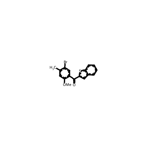 COc1cc(C)c(Br)cc1C(=O)c1cc2ccccc2s1